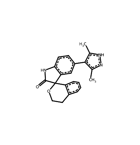 Cc1n[nH]c(C)c1-c1ccc2c(c1)C1(OCCc3ccccc31)C(=O)N2